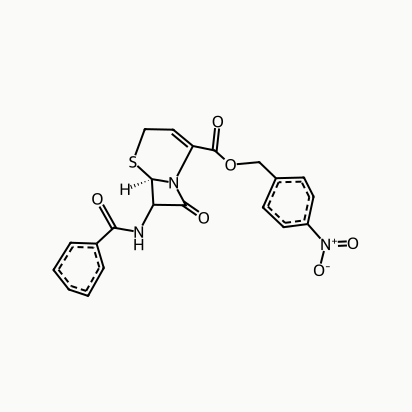 O=C(OCc1ccc([N+](=O)[O-])cc1)C1=CCS[C@@H]2C(NC(=O)c3ccccc3)C(=O)N12